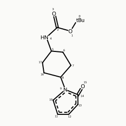 CC(C)(C)OC(=O)NC1CCC(n2ccccc2=O)CC1